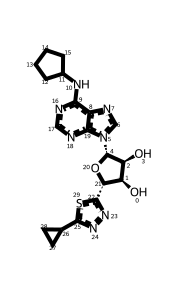 O[C@@H]1[C@H](O)[C@@H](n2cnc3c(NC4CCCC4)ncnc32)O[C@H]1c1nnc(C2CC2)s1